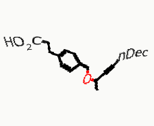 CCCCCCCCCCC#CC(C)OCc1ccc(CCC(=O)O)cc1